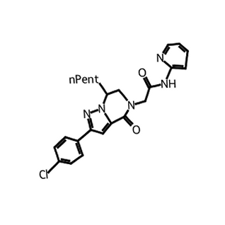 CCCCCC1CN(CC(=O)Nc2ccccn2)C(=O)c2cc(-c3ccc(Cl)cc3)nn21